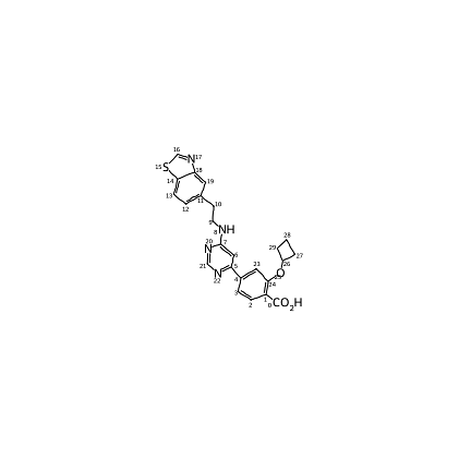 O=C(O)c1ccc(-c2cc(NCCc3ccc4scnc4c3)ncn2)cc1OC1CCC1